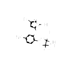 CC(C)c1cc(Oc2cc(C#N)ccc2B2OC(C)(C)C(C)(C)O2)n(C)n1